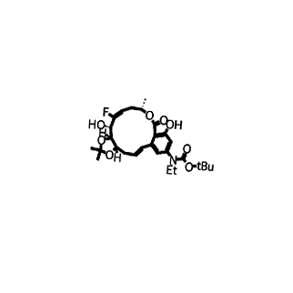 CCN(C(=O)OC(C)(C)C)c1cc(O)c2c(c1)/C=C/C[C@@H]1OC(C)(C)O[C@@H]1[C@H](O)/C(F)=C\C[C@H](C)OC2=O